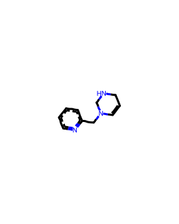 C1=CN(Cc2ccccn2)CNC1